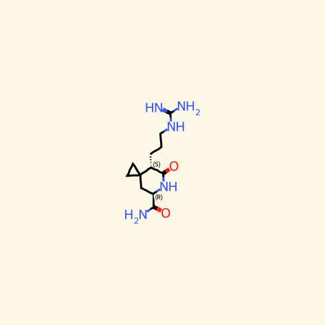 N=C(N)NCCC[C@@H]1C(=O)N[C@@H](C(N)=O)CC12CC2